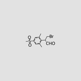 Cc1cc(S(C)(=O)=O)cc(C)c1C(C=O)CBr